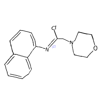 Cl/C(=N\c1cccc2ccccc12)N1CCOCC1